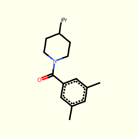 Cc1cc(C)cc(C(=O)N2CCC(C(C)C)CC2)c1